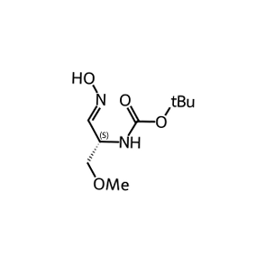 COC[C@H](C=NO)NC(=O)OC(C)(C)C